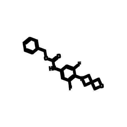 O=C(Nc1cc(F)c(N2CC3(COC3)C2)c(F)c1)OCc1ccccc1